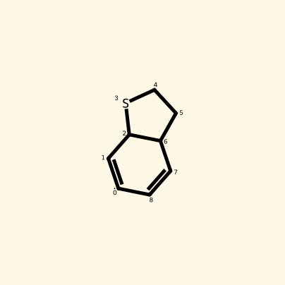 [C]1=CC2SCCC2C=C1